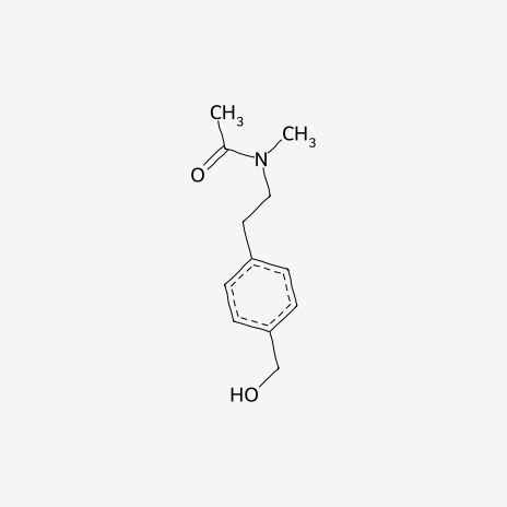 CC(=O)N(C)CCc1ccc(CO)cc1